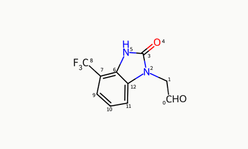 O=CCn1c(=O)[nH]c2c(C(F)(F)F)cccc21